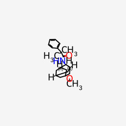 CO[C@]12C[C@H]3C[C@H](C[C@H](C1)[C@H]3NC(=O)C(C)(C)c1ccccc1)C2